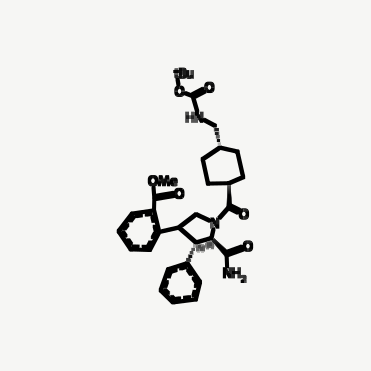 COC(=O)c1ccccc1C1CN(C(=O)[C@H]2CC[C@H](CNC(=O)OC(C)(C)C)CC2)[C@@H](C(N)=O)[C@@H]1c1ccccc1